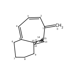 C=C1C=CC=C2CCCCC23CC=CC=C13